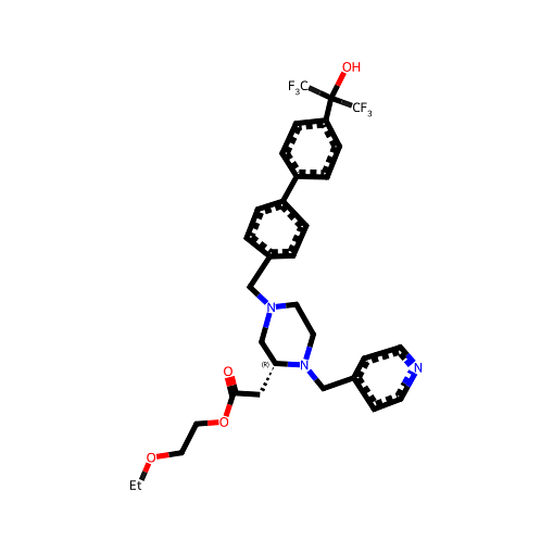 CCOCCOC(=O)C[C@@H]1CN(Cc2ccc(-c3ccc(C(O)(C(F)(F)F)C(F)(F)F)cc3)cc2)CCN1Cc1ccncc1